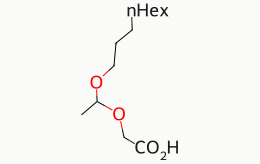 CCCCCCCCCOC(C)OCC(=O)O